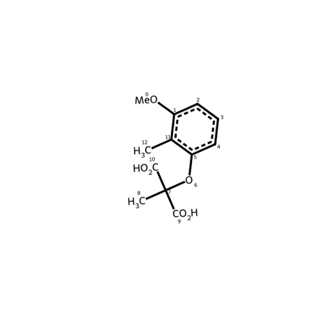 COc1cccc(OC(C)(C(=O)O)C(=O)O)c1C